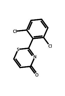 O=c1ccsc(-c2c(Cl)cccc2Cl)n1